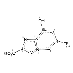 CCOC(=O)c1cn2cc(C(F)(F)F)cc(O)c2n1